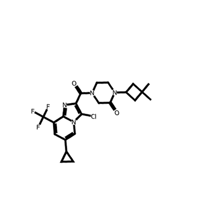 CC1(C)CC(N2CCN(C(=O)c3nc4c(C(F)(F)F)cc(C5CC5)cn4c3Cl)CC2=O)C1